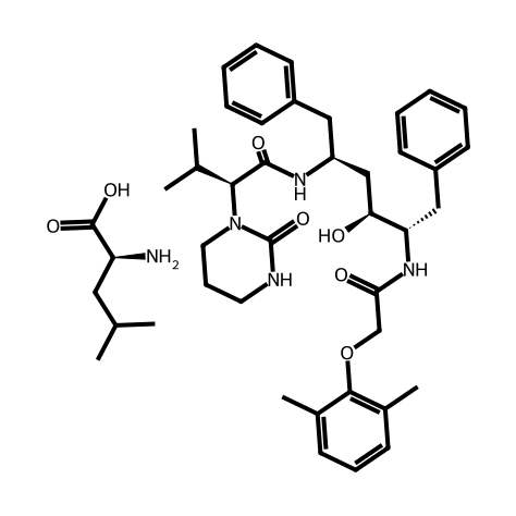 CC(C)C[C@H](N)C(=O)O.Cc1cccc(C)c1OCC(=O)N[C@@H](Cc1ccccc1)[C@@H](O)C[C@H](Cc1ccccc1)NC(=O)[C@H](C(C)C)N1CCCNC1=O